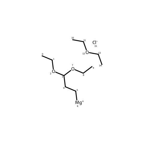 CCOC(C[CH2][Mg+])OCC.CCOCC.[Cl-]